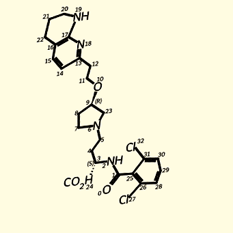 O=C(N[C@@H](CCN1CC[C@@H](OCCc2ccc3c(n2)NCCC3)C1)C(=O)O)c1c(Cl)cccc1Cl